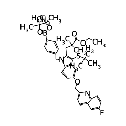 CCOC(=O)C(C)(C)Cc1c(SC(C)(C)C)c2cc(OCc3ccc4cc(F)ccc4n3)ccc2n1Cc1ccc(B2OC(C)(C)C(C)(C)O2)cc1